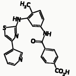 Cc1ccc(NC(=O)c2ccc(C(=O)O)cc2)cc1Nc1nc(-c2cccnc2)cs1